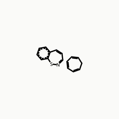 C1=CC=CCC=C1.C1=Cc2ccccc2SN=C1